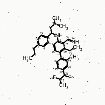 CCCc1ccc(C(CC(C)C)Nc2ccc(-c3ccc(C(F)C(C)F)cc3C)c(CC)c2C=N)cn1